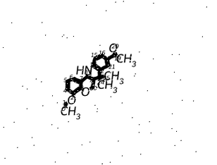 CCOc1cccc2c1OCC1C2Nc2ccc(C(C)=O)cc2C1(C)C